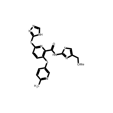 COCc1csc(NC(=O)c2nc(Sc3nnc[nH]3)ccc2Sc2ccc(C)nc2)n1